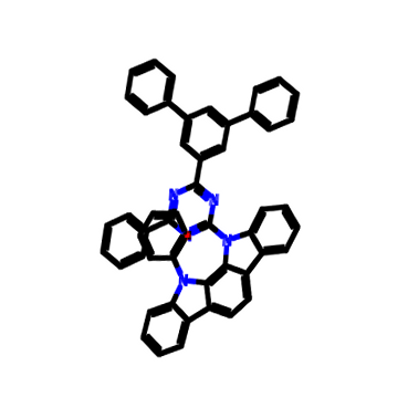 c1ccc(-c2cc(-c3ccccc3)cc(-c3nc(-c4ccccc4)nc(-n4c5ccccc5c5ccc6c7ccccc7n(-c7ccccc7)c6c54)n3)c2)cc1